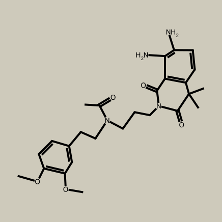 COc1ccc(CCN(CCCN2C(=O)c3c(ccc(N)c3N)C(C)(C)C2=O)C(C)=O)cc1OC